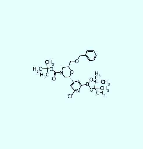 CC(C)(C)OC(=O)N1C[C@@H](COCc2ccccc2)O[C@H](c2cc(Cl)nc(B3OC(C)(C)C(C)(C)O3)c2)C1